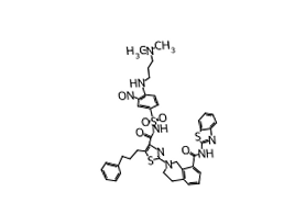 CN(C)CCCNc1ccc(S(=O)(=O)NC(=O)c2nc(N3CCc4cccc(C(=O)Nc5nc6ccccc6s5)c4C3)sc2CCCc2ccccc2)cc1N=O